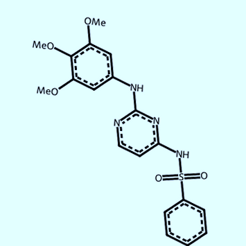 COc1cc(Nc2nccc(NS(=O)(=O)c3ccccc3)n2)cc(OC)c1OC